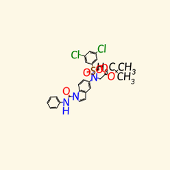 CC(C)(C)OC(=O)CN(c1ccc2c(ccn2C(=O)Nc2ccccc2)c1)S(=O)(=O)c1cc(Cl)cc(Cl)c1